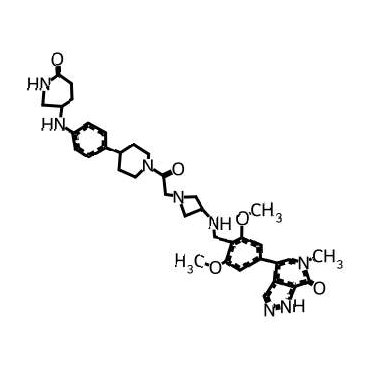 COc1cc(-c2cn(C)c(=O)c3[nH]ncc23)cc(OC)c1CNC1CN(CC(=O)N2CCC(c3ccc(NC4CCC(=O)NC4)cc3)CC2)C1